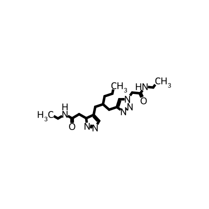 CCCC(CC1=CN=NC1CC(=O)NCC)Cc1cn(CC(=O)NCC)nn1